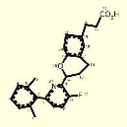 Cc1cccc(C)c1-c1ccc(F)c(C2CCc3cc(CCC(=O)O)ccc3O2)n1